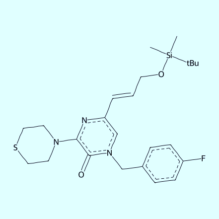 CC(C)(C)[Si](C)(C)OC/C=C/c1cn(Cc2ccc(F)cc2)c(=O)c(N2CCSCC2)n1